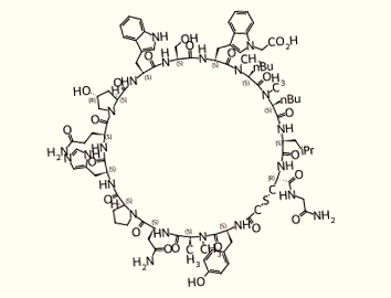 CCCC[C@H]1C(=O)N(C)[C@@H](CCCC)C(=O)N[C@@H](CC(C)C)C(=O)N[C@H](C(=O)NCC(N)=O)CSCC(=O)N[C@@H](Cc2ccc(O)cc2)C(=O)N(C)[C@@H](C)C(=O)N[C@@H](CC(N)=O)C(=O)N2CCC[C@H]2C(=O)N[C@@H](Cc2cnc[nH]2)C(=O)N[C@@H](CCC(N)=O)C(=O)N2C[C@H](O)C[C@H]2C(=O)N[C@@H](Cc2c[nH]c3ccccc23)C(=O)N[C@@H](CO)C(=O)N[C@@H](Cc2cn(CC(=O)O)c3ccccc23)C(=O)N1C